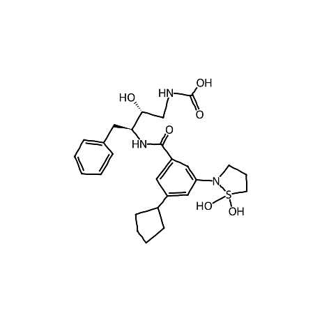 O=C(O)NC[C@@H](O)[C@H](Cc1ccccc1)NC(=O)c1cc(C2CCCC2)cc(N2CCCS2(O)O)c1